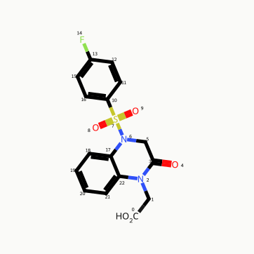 O=C(O)CN1C(=O)CN(S(=O)(=O)c2ccc(F)cc2)c2ccccc21